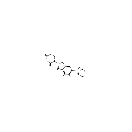 O=C1CCC(N2Cc3cc(N4CC5CC4CN5)c(F)c(F)c3C2=O)C(=O)N1